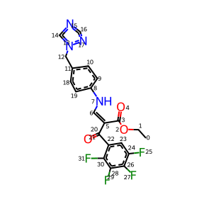 CCOC(=O)C(=CNc1ccc(Cn2cncn2)cc1)C(=O)c1cc(F)c(F)c(F)c1F